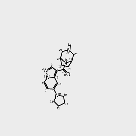 O=C(c1cnn2ccc(N3CCCC3)cc12)N1C2CCC1CNC2